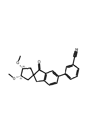 CO[C@H]1CC2(Cc3ccc(-c4cccc(C#N)c4)cc3C2=O)C[C@H]1OC